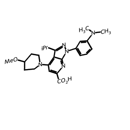 COC1CCN(c2cc(C(=O)O)nc3c2c(C(C)C)nn3-c2cccc(N(C)C)c2)CC1